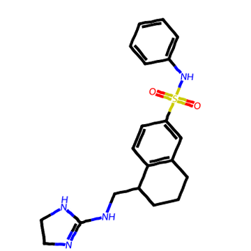 O=S(=O)(Nc1ccccc1)c1ccc2c(c1)CCCC2CNC1=NCCN1